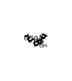 O=C(c1ccc2c(n1)CCO2)N1CCCc2c(O)nc(-c3ccccn3)nc21